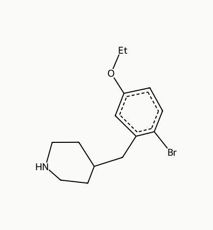 CCOc1ccc(Br)c(CC2CCNCC2)c1